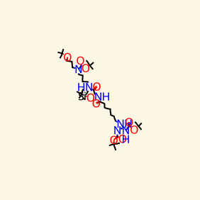 CC(C)(C)OCCCN(CCCCNC(=O)C(NC(=O)CCCCCCNC(=NC(=O)OC(C)(C)C)NC(=O)OC(C)(C)C)O[Si](C)(C)C(C)(C)C)C(=O)OC(C)(C)C